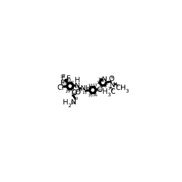 CCN(CC)C(=O)c1cc(Oc2ccc(CNC(=O)Nc3cc(C(F)(F)F)c(Cl)cc3OCCN)cc2)ccn1